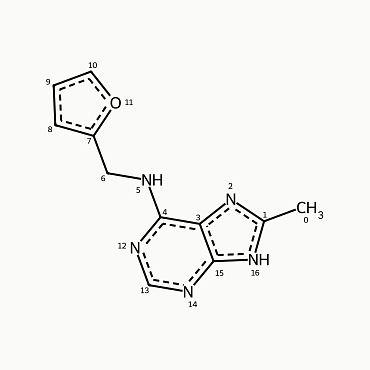 Cc1nc2c(NCc3ccco3)ncnc2[nH]1